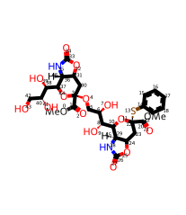 COC(=O)[C@@]1(OC[C@@H](O)[C@@H](O)C2O[C@@](Sc3ccccc3)(C(=O)OC)CC3OC(=O)N[C@H]32)CC2OC(=O)N[C@H]2C([C@H](O)[C@H](O)CO)O1